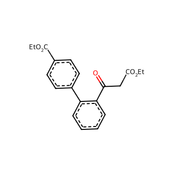 CCOC(=O)CC(=O)c1ccccc1-c1ccc(C(=O)OCC)cc1